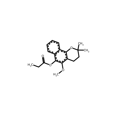 CCC(=O)Oc1c(OC)c2c(c3ccccc13)OC(C)(C)CC2